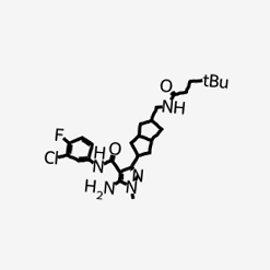 Cn1nc(C2CC3CC(CNC(=O)CCC(C)(C)C)CC3C2)c(C(=O)Nc2ccc(F)c(Cl)c2)c1N